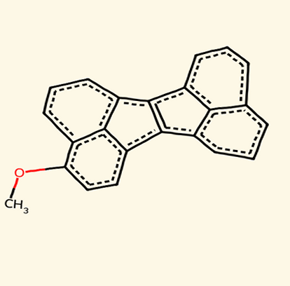 COc1ccc2c3c4cccc5cccc(c=3c3cccc1c32)c54